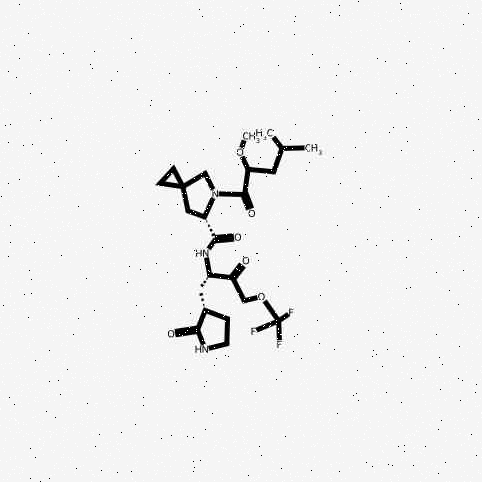 COC(CC(C)C)C(=O)N1CC2(CC2)C[C@H]1C(=O)N[C@@H](C[C@@H]1CCNC1=O)C(=O)COC(F)(F)F